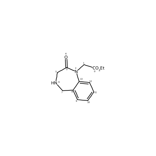 CCOC(=O)CN1C(=O)CNCc2ccccc21